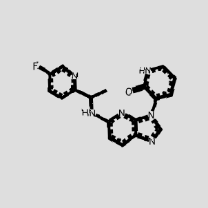 CC(Nc1ccc2ncn(-c3ccc[nH]c3=O)c2n1)c1ccc(F)cn1